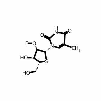 Cc1cn([C@@H]2S[C@H](CO)[C@@H](O)[C@@H]2OF)c(=O)[nH]c1=O